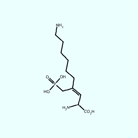 NCCCCCCC(=CC(N)C(=O)O)CP(=O)(O)O